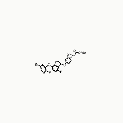 COC(=O)C[C@@H]1COc2cc(O[C@@H]3CCc4c(Oc5cc(Br)ccc5F)ccc(F)c43)ccc21